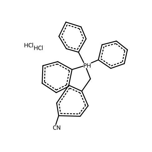 Cl.Cl.N#Cc1ccc(C[PH](c2ccccc2)(c2ccccc2)c2ccccc2)cc1